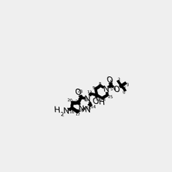 CC(C)(C)OC(=O)N1CCC(O)(Cn2cnn3cc(N)cc3c2=O)CC1